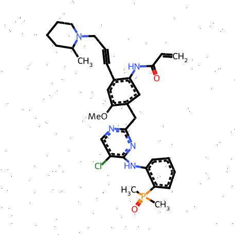 C=CC(=O)Nc1cc(Cc2ncc(Cl)c(Nc3ccccc3P(C)(C)=O)n2)c(OC)cc1C#CCN1CCCCC1C